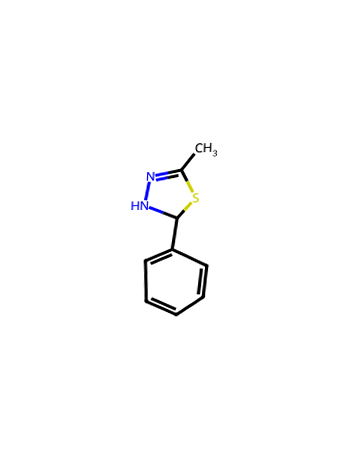 CC1=NNC(c2ccccc2)S1